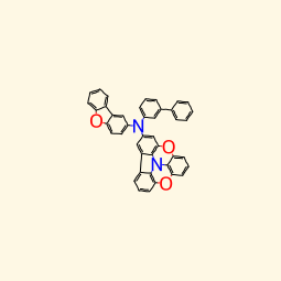 c1ccc(-c2cccc(N(c3ccc4oc5ccccc5c4c3)c3cc4c5c(c3)c3cccc6c3n5-c3c(cccc3O4)O6)c2)cc1